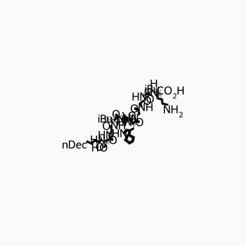 CCCCCCCCCCCCCC(=O)N[C@@H](CO)C(=O)NCC(=O)N[C@H](C(=O)N[C@@H](C)C(=O)N[C@@H](Cc1c[nH]c2ccccc12)C(=O)NCC(=O)NCC(=O)N[C@H](C(=O)N[C@@H](CCCCN)C(=O)O)[C@@H](C)CC)[C@@H](C)CC